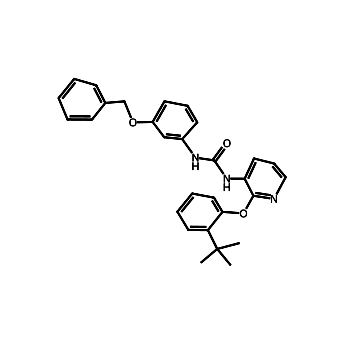 CC(C)(C)c1ccccc1Oc1ncccc1NC(=O)Nc1cccc(OCc2ccccc2)c1